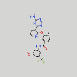 CNc1ncnc(-c2cccnc2Oc2cc(C(=O)Nc3cc(OC)cc(C(F)(F)F)c3)ccc2C)n1